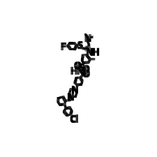 Cc1cc(S(=O)(=O)NC(=O)c2ccc(N3CCN(Cc4ccccc4-c4ccc(Cl)cc4)CC3)cc2)ccc1N[C@H](CCN(C)C)CSc1ccc(F)cc1